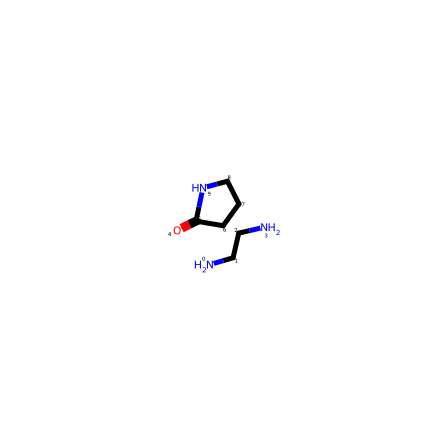 NCCN.O=C1CCCN1